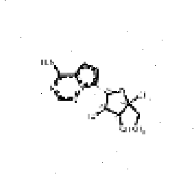 CC[C@@]1(C)O[C@@H](c2ccc3c(N)ncnn23)[C@H](O)[C@@H]1O